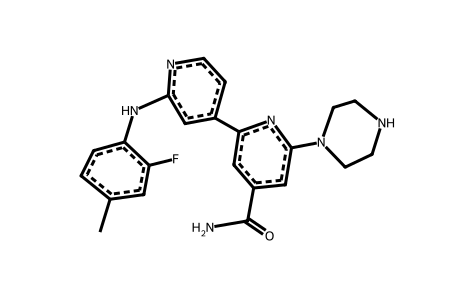 Cc1ccc(Nc2cc(-c3cc(C(N)=O)cc(N4CCNCC4)n3)ccn2)c(F)c1